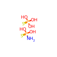 NP(O)(O)=S.OP(O)(O)=S